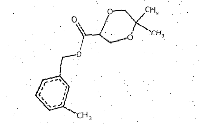 Cc1cccc(COC(=O)C2COC(C)(C)CO2)c1